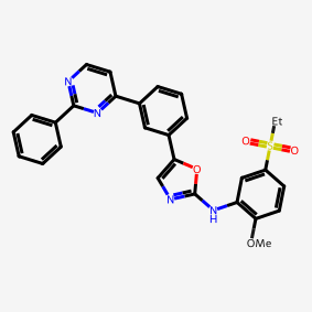 CCS(=O)(=O)c1ccc(OC)c(Nc2ncc(-c3cccc(-c4ccnc(-c5ccccc5)n4)c3)o2)c1